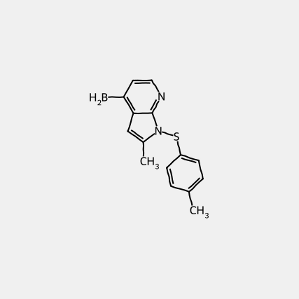 Bc1ccnc2c1cc(C)n2Sc1ccc(C)cc1